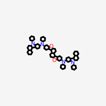 c1ccc(N(c2ccc3c(c2)oc2ccc4c(ccc5oc6cc(N(c7ccccc7)c7ccc8c9c%10ccccc%10ccc9n(-c9ccccc9)c8c7)ccc6c54)c23)c2ccc3c4c5ccccc5ccc4n(-c4ccccc4)c3c2)cc1